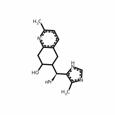 CCC[C@H](c1[nH]cnc1C)C1Cc2ccc(C)nc2CC1O